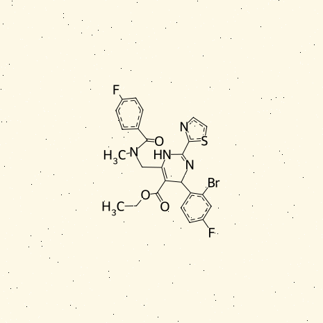 CCOC(=O)C1=C(CN(C)C(=O)c2ccc(F)cc2)NC(c2nccs2)=NC1c1ccc(F)cc1Br